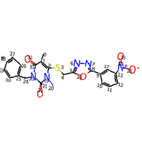 Cc1c(SCc2nnc(-c3cccc([N+](=O)[O-])c3)o2)n(C)c(=O)n(Cc2ccccc2)c1=O